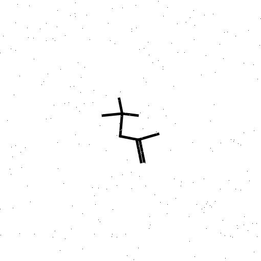 [CH]=C(C)CC(C)(C)C